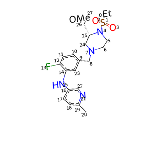 CCS(=O)(=O)N1CCN(Cc2ccc(F)c(Nc3ccc(C)nc3)c2)C[C@@H]1COC